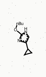 CCCCOc1nc(C2CC2)c[nH]1